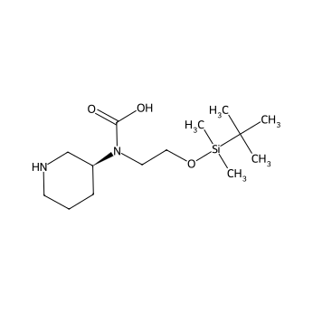 CC(C)(C)[Si](C)(C)OCCN(C(=O)O)[C@H]1CCCNC1